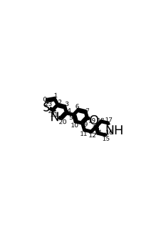 c1cc2cc(-c3ccc4c(c3)CCC3(CCNCC3)O4)cnc2s1